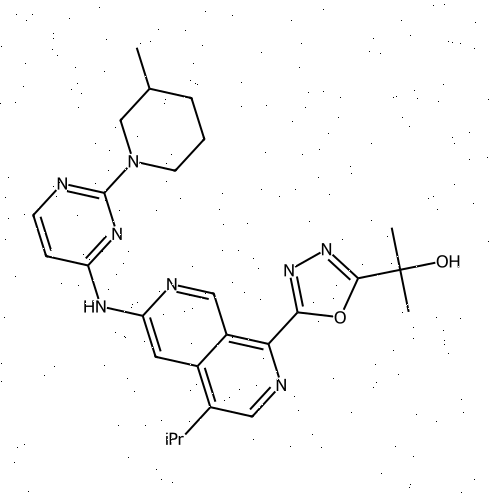 CC1CCCN(c2nccc(Nc3cc4c(C(C)C)cnc(-c5nnc(C(C)(C)O)o5)c4cn3)n2)C1